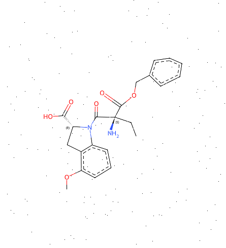 CC[C@@](N)(C(=O)OCc1ccccc1)C(=O)N1c2cccc(OC)c2C[C@@H]1C(=O)O